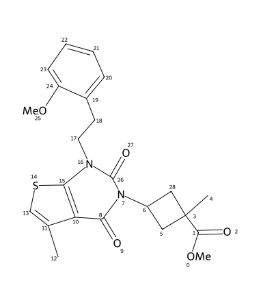 COC(=O)C1(C)CC(n2c(=O)c3c(C)csc3n(CCc3ccccc3OC)c2=O)C1